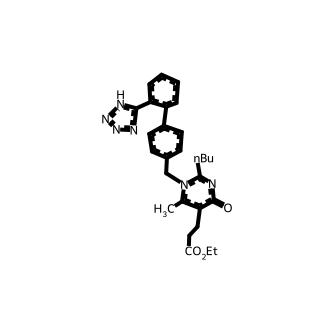 CCCCc1nc(=O)c(CCC(=O)OCC)c(C)n1Cc1ccc(-c2ccccc2-c2nnn[nH]2)cc1